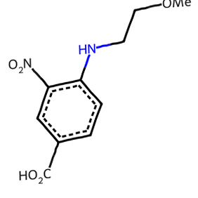 COCCNc1ccc(C(=O)O)cc1[N+](=O)[O-]